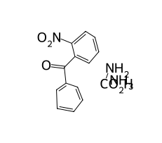 N.NC(=O)O.O=C(c1ccccc1)c1ccccc1[N+](=O)[O-]